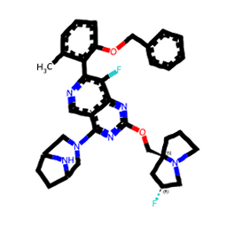 Cc1cccc(OCc2ccccc2)c1-c1ncc2c(N3CC4CCC(C3)N4)nc(OC[C@@]34CCCN3C[C@H](F)C4)nc2c1F